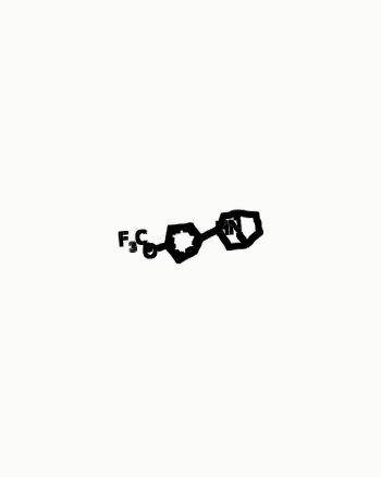 FC(F)(F)Oc1ccc(C2CC3CCC(C2)N3)cc1